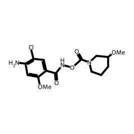 COc1cc(N)c(Cl)cc1C(=O)NOC(=O)N1CCCC(OC)C1